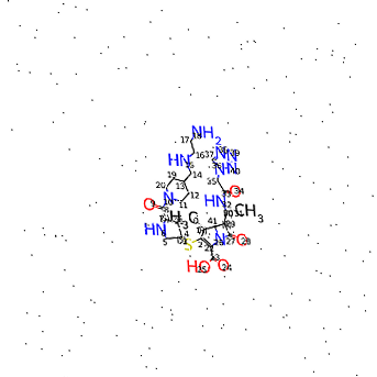 C[C@H]1C(S[C@@H]2CN[C@H](C(=O)N3CCC(CNCCN)CC3)C2)=C(C(=O)O)N2C(=O)[C@H]([C@@H](C)NC(=O)Cn3cnnn3)C12